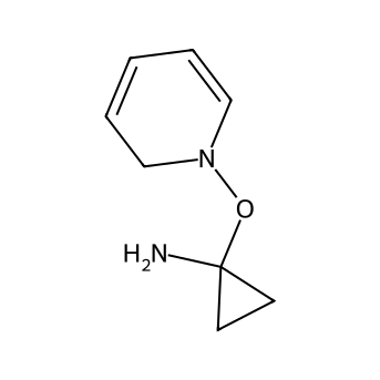 NC1(ON2C=CC=CC2)CC1